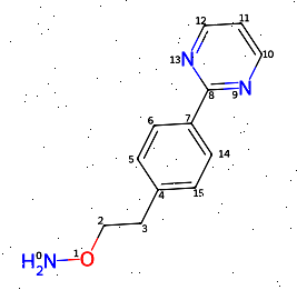 NOCCc1ccc(-c2ncccn2)cc1